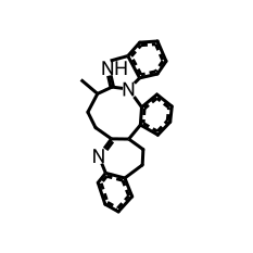 Cc1ccccc1N1C(=N)C(C)CCC2=Nc3ccccc3CCC2c2ccccc21